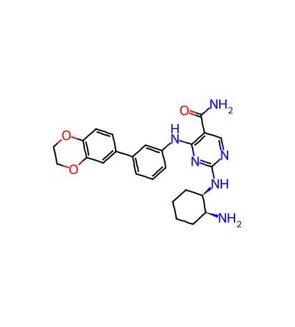 NC(=O)c1cnc(N[C@@H]2CCCC[C@@H]2N)nc1Nc1cccc(-c2ccc3c(c2)OCCO3)c1